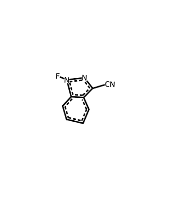 N#Cc1nn(F)c2ccccc12